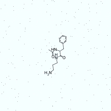 CC(=O)NC(Cc1ccccc1)C(=O)NCCCN